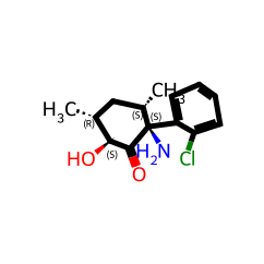 C[C@@H]1C[C@H](C)[C@](N)(c2ccccc2Cl)C(=O)[C@H]1O